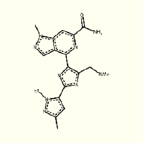 CCn1nc(C)cc1-c1nc(-c2nc(C(N)=O)cc3c2cnn3C)c(CNC)s1